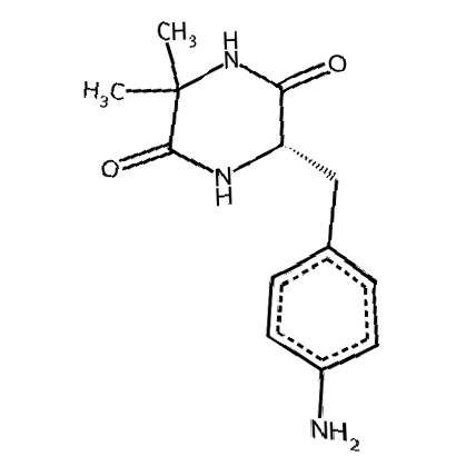 CC1(C)NC(=O)[C@H](Cc2ccc(N)cc2)NC1=O